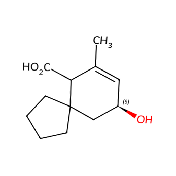 CC1=C[C@@H](O)CC2(CCCC2)C1C(=O)O